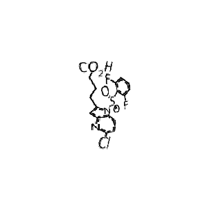 O=C(O)CCCc1cc2nc(Cl)ccc2n1S(=O)(=O)c1c(F)cccc1F